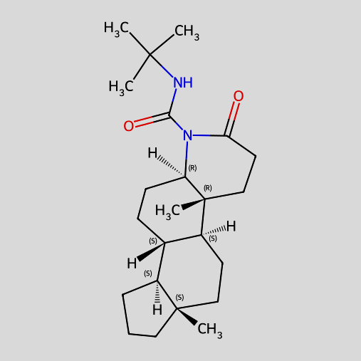 CC(C)(C)NC(=O)N1C(=O)CC[C@]2(C)[C@H]3CC[C@]4(C)CCC[C@H]4[C@@H]3CC[C@@H]12